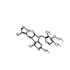 COc1c(C)cnc(CN2C(=O)/C(=C\c3[nH]ncc3Br)c3c(Cl)nc(N)nc32)c1C